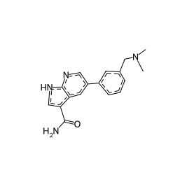 CN(C)Cc1cccc(-c2cnc3[nH]cc(C(N)=O)c3c2)c1